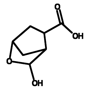 O=C(O)C1CC2CC1C(O)O2